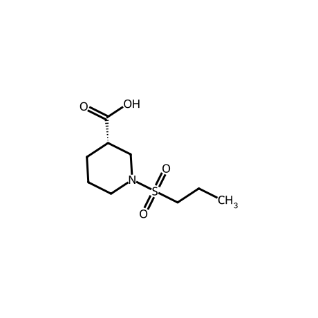 CCCS(=O)(=O)N1CCC[C@H](C(=O)O)C1